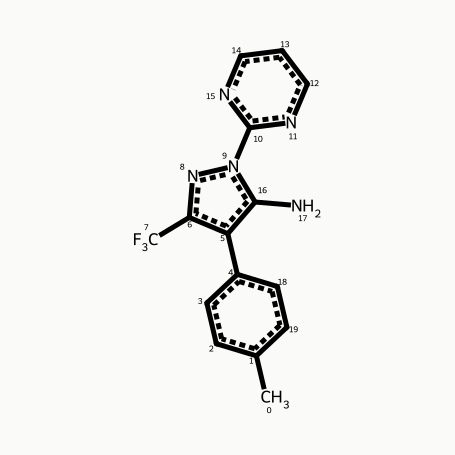 Cc1ccc(-c2c(C(F)(F)F)nn(-c3ncccn3)c2N)cc1